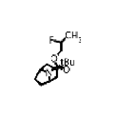 CC(F)COC(=O)N1C2CCC1CC(C(C)(C)C)C2